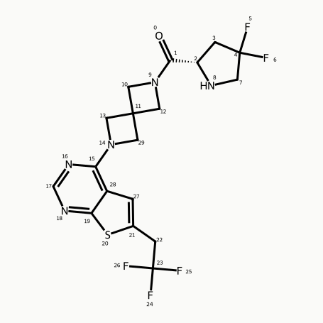 O=C([C@@H]1CC(F)(F)CN1)N1CC2(C1)CN(c1ncnc3sc(CC(F)(F)F)cc13)C2